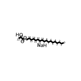 CCCCCCCCCCCCCCCCCCOC(=O)C(C)O.[NaH]